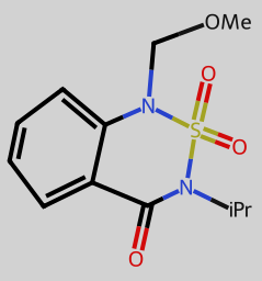 COCN1c2ccccc2C(=O)N(C(C)C)S1(=O)=O